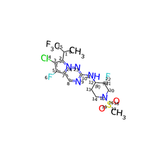 CC(c1c(Cl)c(F)c2cnc(N[C@@H]3CCN(S(C)(=O)=O)C[C@H]3F)nn12)C(F)(F)F